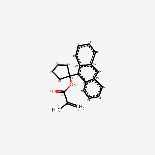 C=C(C)C(=O)OC1(c2c3ccccc3cc3ccccc23)CCCC1